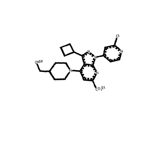 CCOC(=O)c1cc(N2CCC(COC)CC2)c2c(C3CCC3)nn(-c3ccnc(Cl)c3)c2n1